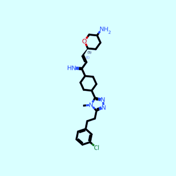 Cn1c(CCc2cccc(Cl)c2)nnc1C1CCC(C(=N)/C=C/[C@@H]2CCC(N)CO2)CC1